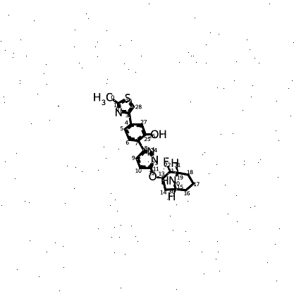 Cc1nc(-c2ccc(-c3ccc(O[C@@H]4C[C@H]5CCC[C@H](N5)[C@@H]4F)nn3)c(O)c2)cs1